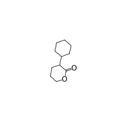 O=C1OCCCC1C1CCCCC1